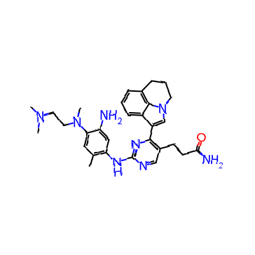 Cc1cc(N(C)CCN(C)C)c(N)cc1Nc1ncc(CCC(N)=O)c(-c2cn3c4c(cccc24)CCC3)n1